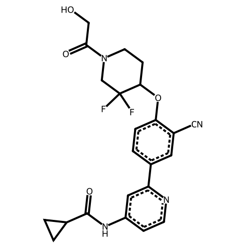 N#Cc1cc(-c2cc(NC(=O)C3CC3)ccn2)ccc1OC1CCN(C(=O)CO)CC1(F)F